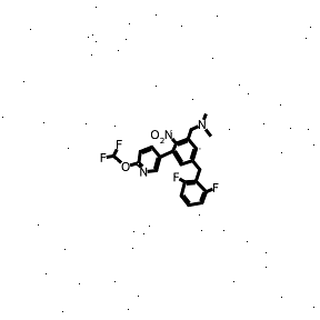 CN(C)Cc1[c]c(Cc2c(F)cccc2F)cc(-c2ccc(OC(F)F)nc2)c1[N+](=O)[O-]